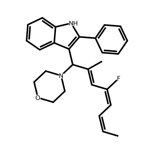 C\C=C/C=C(F)\C=C(/C)C(c1c(-c2ccccc2)[nH]c2ccccc12)N1CCOCC1